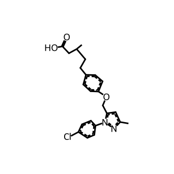 Cc1cc(COc2ccc(CCC(C)CC(=O)O)cc2)n(-c2ccc(Cl)cc2)n1